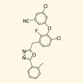 Cc1ccccc1-c1nnc(Cc2ccc(Cl)c(Oc3cc(Cl)cc(C#N)c3)c2F)o1